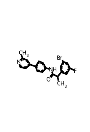 Cc1cc(-c2ccc(NC(=O)C(C)c3cc(F)cc(Br)c3)cc2)ccn1